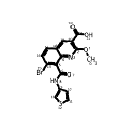 COc1nc2c(C(=O)Nc3ccsc3)c(Br)ccc2cc1C(=O)O